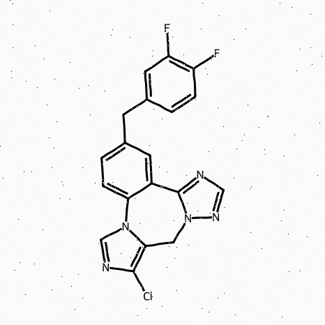 Fc1ccc(Cc2ccc3c(c2)-c2ncnn2Cc2c(Cl)ncn2-3)cc1F